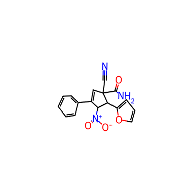 N#CC1(C(N)=O)C=C(c2ccccc2)C([N+](=O)[O-])C1c1ccco1